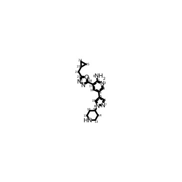 Nc1ncc(-c2cnn(C3CCNCC3)c2)cc1-c1nnc(CC2CC2)o1